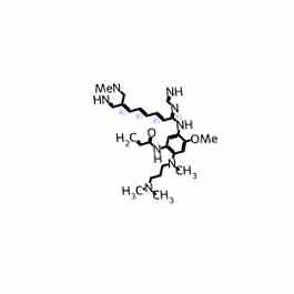 C=CC(=O)Nc1cc(NC(/C=C/C=C/C=C(/C=N)CNC)=N/C=N)c(OC)cc1N(C)CCCN(C)C